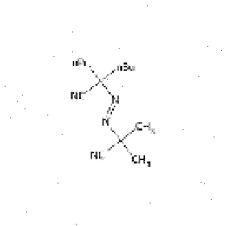 CCCCC(C#N)(CCC)/N=N/C(C)(C)C#N